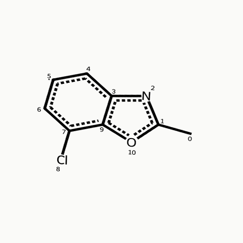 Cc1nc2c[c]cc(Cl)c2o1